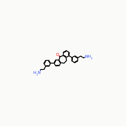 NCCc1cccc(-c2ccc3c(c2)C(=O)c2cccc(-c4cccc(CCN)c4)c2CC3)c1